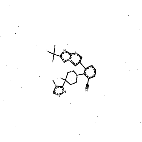 Cn1cnnc1C1(F)CCN(c2c(C#N)cccc2-c2cnc3nc(C(F)(F)F)nn3c2)CC1